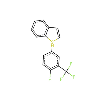 Fc1ccc([SH]2C=Cc3ccccc32)cc1C(F)(F)F